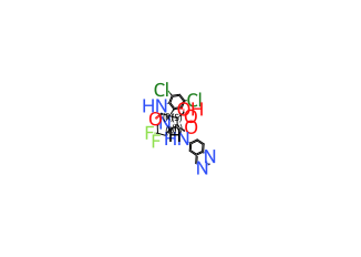 O=C(Nc1ccc2ncncc2c1)[C@H]1[C@H]2CC(F)(F)CN2[C@]2(C(=O)Nc3c(Cl)cc(Cl)cc32)[C@H]1C(=O)O